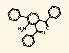 Nc1c(-c2ccccc2)ccc(C(=O)c2ccccc2)c1C(=O)c1ccccc1